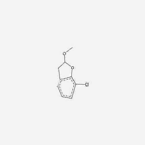 COC1Cc2[c]ccc(Cl)c2O1